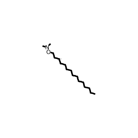 CCCCCCCCCCCC[CH]CCON(C)C